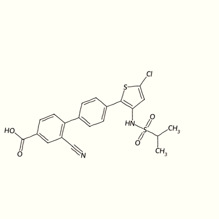 CC(C)S(=O)(=O)Nc1cc(Cl)sc1-c1ccc(-c2ccc(C(=O)O)cc2C#N)cc1